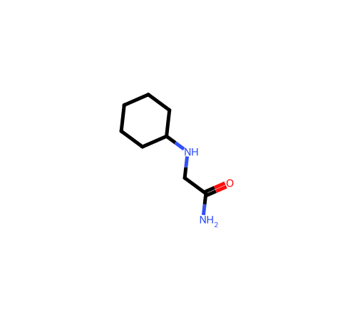 NC(=O)CNC1CCCCC1